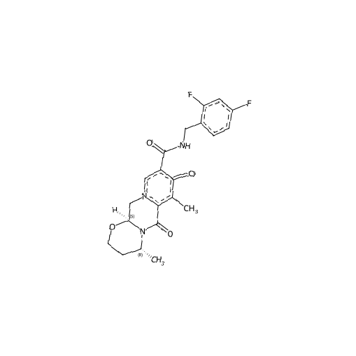 Cc1c2n(cc(C(=O)NCc3ccc(F)cc3F)c1=O)C[C@@H]1OCC[C@@H](C)N1C2=O